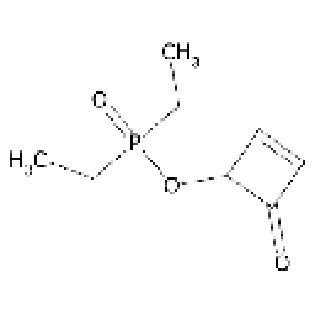 CCP(=O)(CC)OC1C=CC1=O